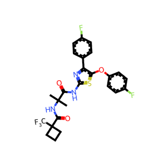 CC(C)(NC(=O)C1(C(F)(F)F)CCC1)C(=O)Nc1nc(-c2ccc(F)cc2)c(Oc2ccc(F)cc2)s1